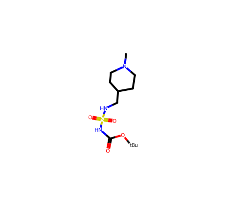 CN1CCC(CNS(=O)(=O)NC(=O)OC(C)(C)C)CC1